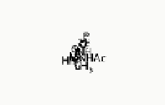 CC(=O)Nc1c(C(=O)Nc2ccc(F)cc2)n[nH]c1C